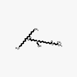 CCCCCCCCC(CCCCCCCC)OC(=O)CCCCN(CCO)CCCCCCCCC(=O)OCCC(C)C